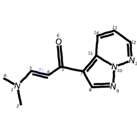 CN(C)/C=C/C(=O)c1cnn2ncccc12